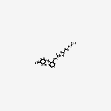 O=C(C=Cc1ccccc1Sc1ccc(Cl)cc1Cl)NCCCCCCO